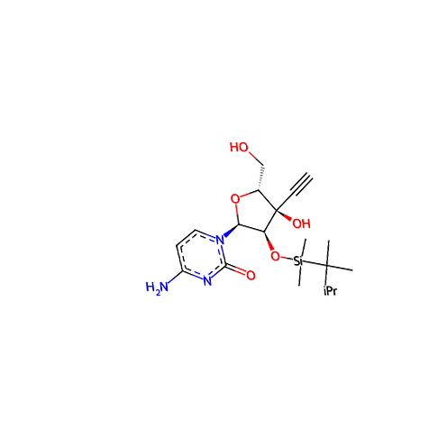 C#C[C@@]1(O)[C@@H](CO)O[C@H](n2ccc(N)nc2=O)[C@@H]1O[Si](C)(C)C(C)(C)C(C)C